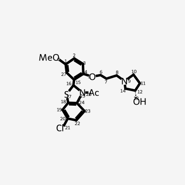 COc1ccc(OCCCN2CC[C@H](O)C2)c(C2Sc3cc(Cl)ccc3N2C(C)=O)c1